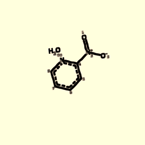 O.O=[N+]([O-])c1ccccn1